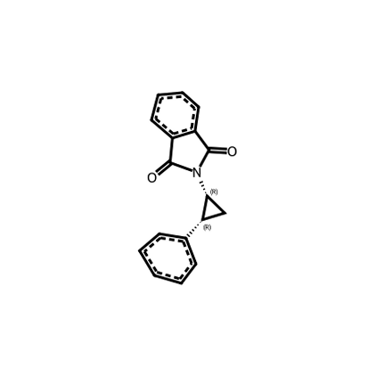 O=C1c2ccccc2C(=O)N1[C@@H]1C[C@@H]1c1ccccc1